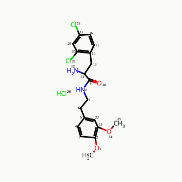 COc1ccc(CCNC(=O)C(N)Cc2ccc(Cl)cc2Cl)cc1OC.Cl